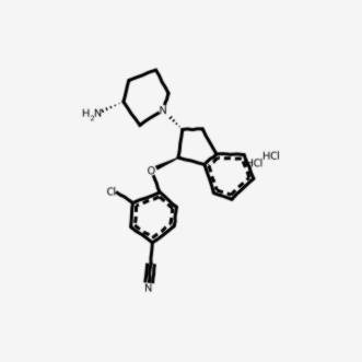 Cl.Cl.N#Cc1ccc(O[C@@H]2c3ccccc3C[C@H]2N2CCC[C@@H](N)C2)c(Cl)c1